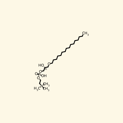 CCCCCCCCCCCCCCCCOC[C@@H](O)COP(=O)(O)OCC[N+](C)(C)C